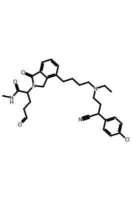 CCN(CCCCc1cccc2c1CN(C(CCC=O)C(=O)NC)C2=O)CCC(C#N)c1ccc(Cl)cc1